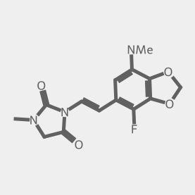 CNc1cc(/C=C/N2C(=O)CN(C)C2=O)c(F)c2c1OCO2